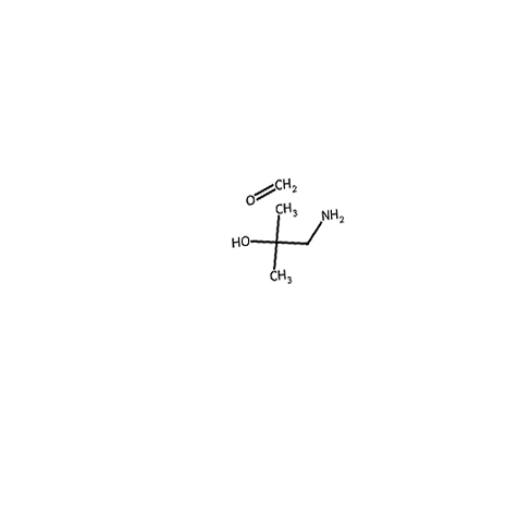 C=O.CC(C)(O)CN